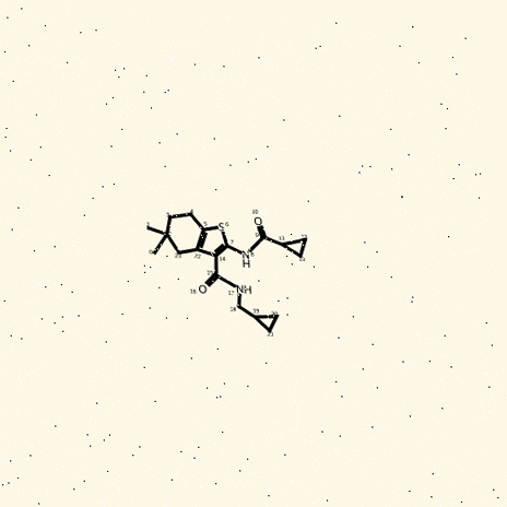 CC1(C)CCc2sc(NC(=O)C3CC3)c(C(=O)NCC3CC3)c2C1